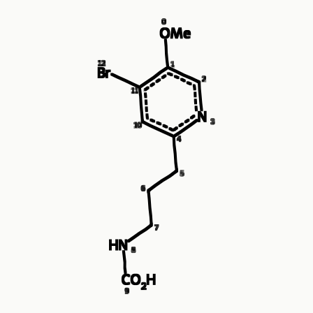 COc1cnc(CCCNC(=O)O)cc1Br